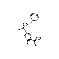 COC(=O)c1nc(C(C)OCc2ccccc2)oc1C